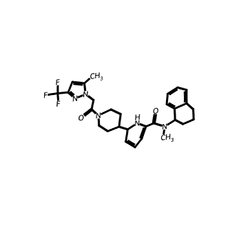 Cc1cc(C(F)(F)F)nn1CC(=O)N1CCC(C2C=CC=C(C(=O)N(C)C3CCCc4ccccc43)N2)CC1